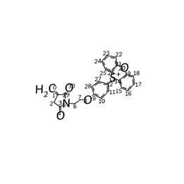 C=C1CC(=O)N(CCOc2ccc([S+]3c4ccccc4Oc4ccccc43)cc2)C1=O